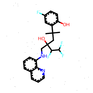 CC(C)(CC(O)(CNc1cccc2cccnc12)C(F)C(F)F)c1cc(F)ccc1O